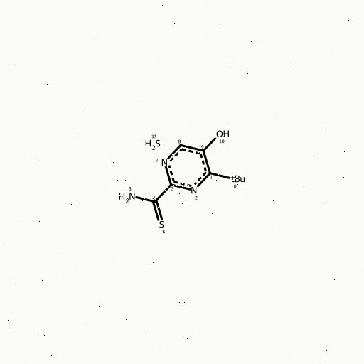 CC(C)(C)c1nc(C(N)=S)ncc1O.S